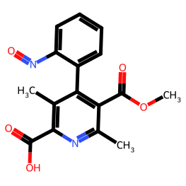 COC(=O)c1c(C)nc(C(=O)O)c(C)c1-c1ccccc1N=O